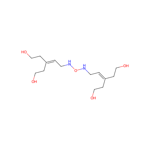 OCCC(=CCNONCC=C(CCO)CCO)CCO